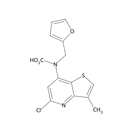 Cc1csc2c(N(Cc3ccco3)C(=O)O)cc(Cl)nc12